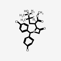 COC(=O)C(CC(C)(C)[Si](C)(C)O)C1C(=O)CN1C(c1ccc(Cl)cc1)c1ccc(Cl)cc1